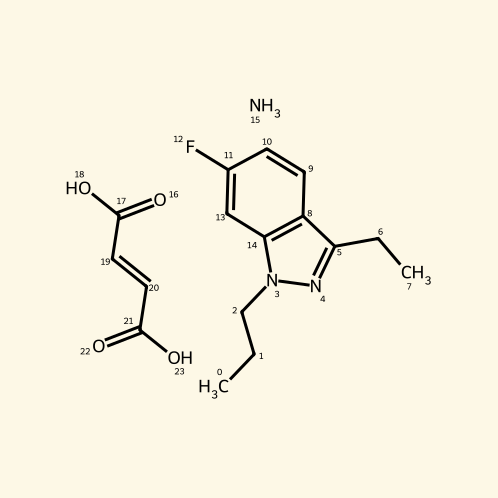 CCCn1nc(CC)c2ccc(F)cc21.N.O=C(O)C=CC(=O)O